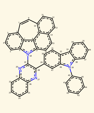 C1=Cc2cccc3c2c2c4c1cccc4ccc2n3-c1nc2ccccc2nc1-c1ccc2c3ccccc3n(-c3ccccc3)c2c1